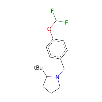 CC(C)(C)C1CCCN1Cc1ccc(OC(F)F)cc1